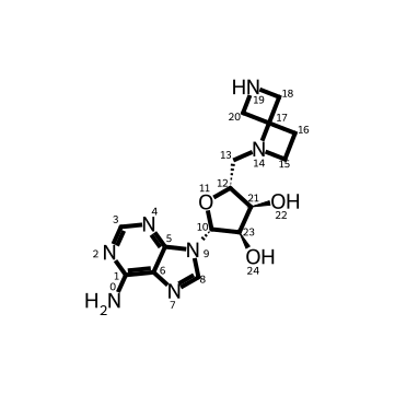 Nc1ncnc2c1ncn2[C@@H]1O[C@H](CN2CCC23CNC3)[C@@H](O)[C@H]1O